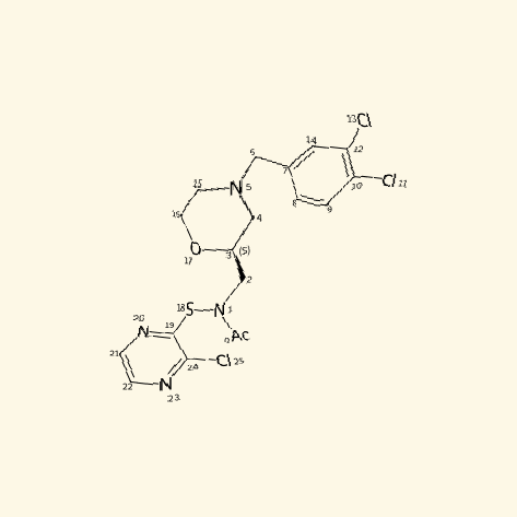 CC(=O)N(C[C@@H]1CN(Cc2ccc(Cl)c(Cl)c2)CCO1)Sc1nccnc1Cl